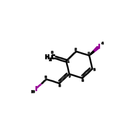 C=C1C[C@@H](I)C=C/C1=C/CI